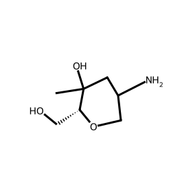 CC1(O)CC(N)CO[C@@H]1CO